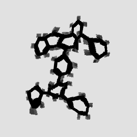 c1ccc(-c2nc(-c3ccccc3)nc(-c3ccc(-c4nc5c(-c6ccccc6)cccc5c5sc6ccccc6c45)cc3)n2)cc1